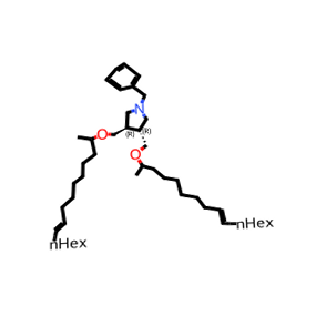 CCCCCCC=CCCCCCCC(C)OC[C@H]1CN(Cc2ccccc2)C[C@@H]1COC(C)CCCCCCC=CCCCCCC